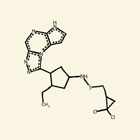 CCC1CC(NSCC2CC2(Cl)Cl)CC1c1nnc2cnc3[nH]ccc3n12